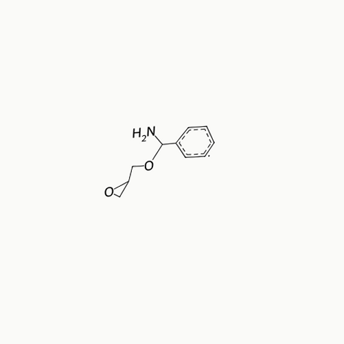 NC(OCC1CO1)c1c[c]ccc1